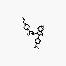 C=CCN1CCN(C(=O)CNc2c(-c3ccc(N(C)C)cc3)nc3cnccn23)CC1